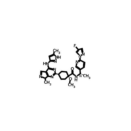 CO[C@]1(C(=O)N[C@@H](C)c2ccc(-n3cc(F)cn3)nc2)CC[C@H](c2nc(Nc3cc(C)[nH]n3)c3c(n2)C(C)N=C3)CC1